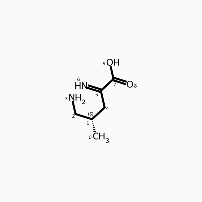 C[C@H](CN)CC(=N)C(=O)O